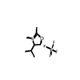 CC1=[N+](C)C(C(C)C)CO1.F[B-](F)(F)F